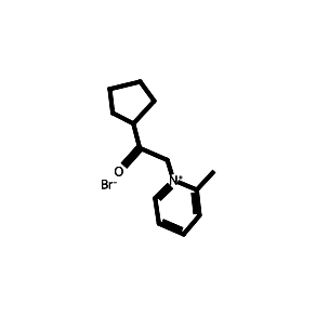 Cc1cccc[n+]1CC(=O)C1CCCC1.[Br-]